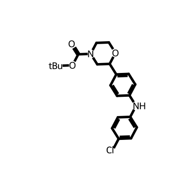 CC(C)(C)OC(=O)N1CCOC(c2ccc(Nc3ccc(Cl)cc3)cc2)C1